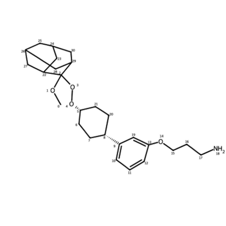 COC1(OO[C@H]2CC[C@@H](c3cccc(OCCCN)c3)CC2)C2CC3CC(C2)CC1C3